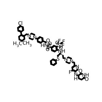 CC1(C)CCC(c2ccc(Cl)cc2)=C(CN2CCN(c3ccc(C(=O)NS(=O)(=O)c4ccc(N[C@H](CCN5CCN(Cc6cc(F)c(NC7CCC(=O)NC7=O)cn6)CC5)CSc5ccccc5)c(S(=O)(=O)C(F)(F)F)c4)cc3)CC2)C1